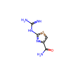 N=C(N)Nc1nc(C(N)=O)cs1